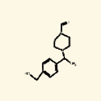 CC(c1ccc(CO)cc1)N1CCN(C=O)CC1